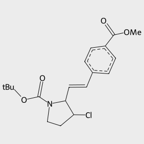 COC(=O)c1ccc(/C=C/C2C(Cl)CCN2C(=O)OC(C)(C)C)cc1